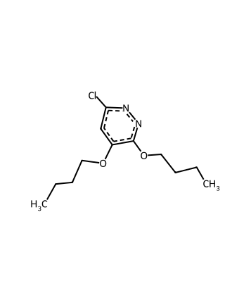 CCCCOc1cc(Cl)nnc1OCCCC